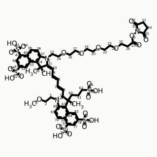 COCC[N+]1=C(/C=C/C=C/C=C2/N(CCOCCOCCOCCOCCC(=O)ON3C(=O)CCC3=O)c3ccc4c(S(=O)(=O)O)cc(S(=O)(=O)O)cc4c3C2(C)C)C(C)(CCCS(=O)(=O)O)c2c1ccc1c(S(=O)(=O)O)cc(S(=O)(=O)O)cc21